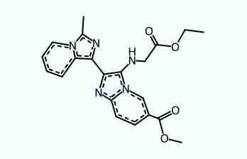 CCOC(=O)CNc1c(-c2nc(C)n3ccccc23)nc2ccc(C(=O)OC)cn12